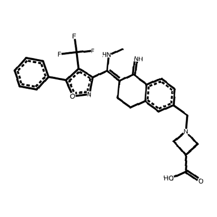 CN/C(=C1/CCc2cc(CN3CC(C(=O)O)C3)ccc2C1=N)c1noc(-c2ccccc2)c1C(F)(F)F